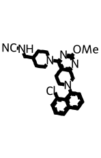 COc1nc2c(c(N3CCC(CNC#N)CC3)n1)CCN(c1cccc3cccc(Cl)c13)C2